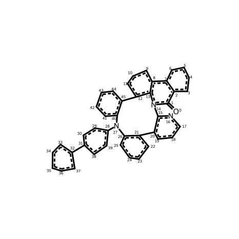 O=c1c2ccccc2c2cccc3c2n1-c1ncccc1-c1ccccc1N(c1ccc(-c2ccccc2)cc1)c1ccccc1-3